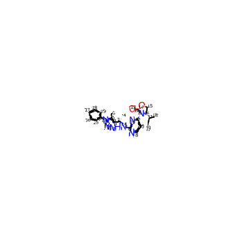 Cc1c([C@H](C)Nc2nccc(N3C(=O)OC[C@@H]3C(C)C)n2)nnn1-c1ccccc1